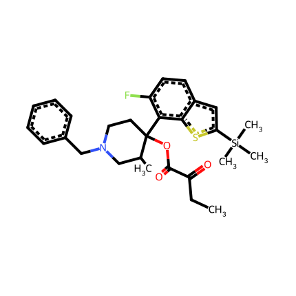 CCC(=O)C(=O)OC1(c2c(F)ccc3cc([Si](C)(C)C)sc23)CCN(Cc2ccccc2)CC1C